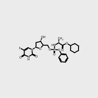 C[C@H](NP(=O)(OCC1O[C@@H](n2cc(F)c(=O)[nH]c2=O)C[C@H]1O)Oc1ccccc1)C(=O)OC1CCCCC1